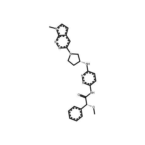 CO[C@@H](C(=O)Nc1ccc(N[C@@H]2CCN(c3cc4ccn(C)c4nn3)C2)nn1)c1ccccc1